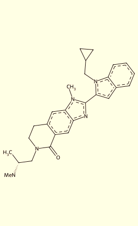 CN[C@H](C)CN1CCc2cc3c(cc2C1=O)nc(-c1cc2ccccc2n1CC1CC1)n3C